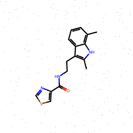 Cc1[nH]c2c(C)cccc2c1CCNC(=O)c1cscn1